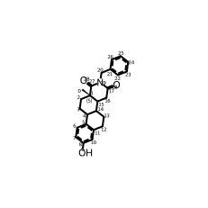 C[C@]12CCC3c4ccc(O)cc4CCC3C1CC(=O)N(Cc1ccccc1)C2=O